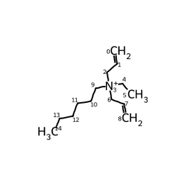 C=CC[N+](CC)(CC=C)CCCCCC